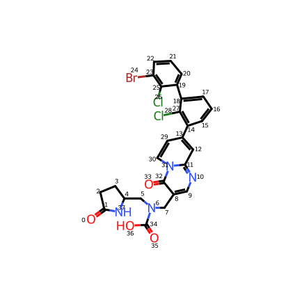 O=C1CCC(CN(Cc2cnc3cc(-c4cccc(-c5cccc(Br)c5Cl)c4Cl)ccn3c2=O)C(=O)O)N1